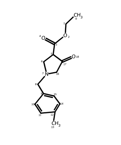 CCOC(=O)C1CN(Cc2ccc(C)cc2)CC1=O